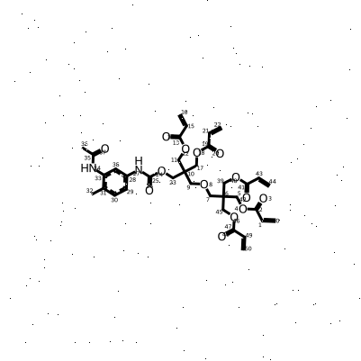 C=CC(=O)OCC(COCC(COC(=O)C=C)(COC(=O)C=C)COC(=O)Nc1ccc(C)c(NC(C)=O)c1)(COC(=O)C=C)COC(=O)C=C